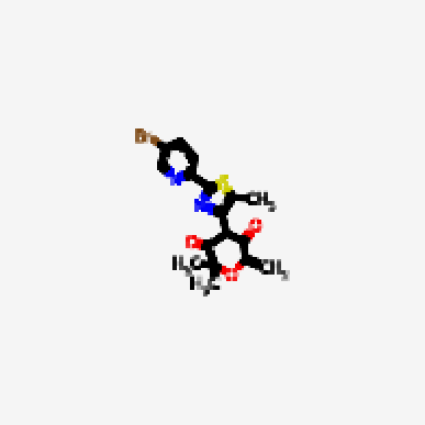 C=C1OC(C)(C)C(=O)C(c2nc(-c3ccc(Br)cn3)sc2C)C1=O